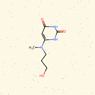 CN(CCCO)c1cc(=O)[nH]c(=O)[nH]1